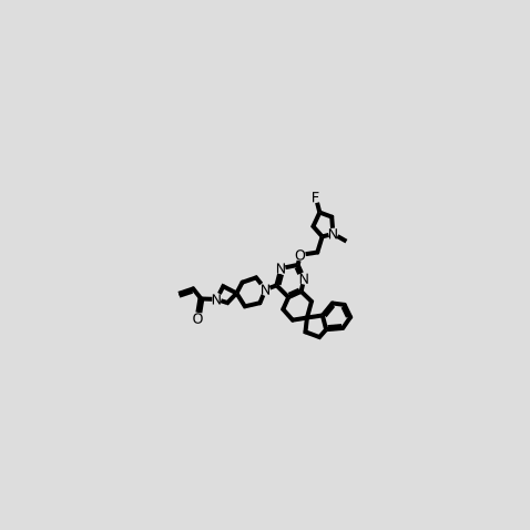 C=CC(=O)N1CC2(CCN(c3nc(OCC4CC(F)CN4C)nc4c3CCC3(CCc5ccccc53)C4)CC2)C1